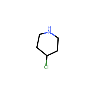 ClC1CCNCC1